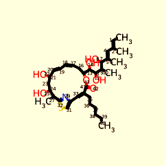 C/C=C(C)/C=C(\C)C(O)C(C)C(O)C(O)C1C/C=C\C=C\C(O)CC(O)C(C)c2nc(cs2)/C=C(\CCCCCC)C(=O)O1